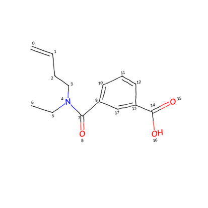 C=CCCN(CC)C(=O)c1cccc(C(=O)O)c1